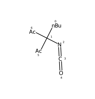 CCCCC(N=C=O)(C(C)=O)C(C)=O